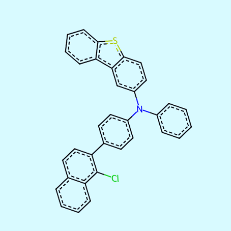 Clc1c(-c2ccc(N(c3ccccc3)c3ccc4sc5ccccc5c4c3)cc2)ccc2ccccc12